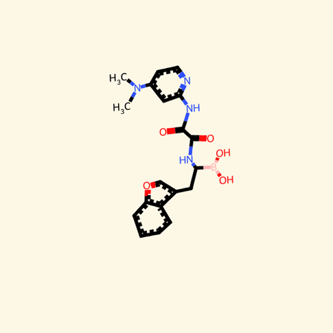 CN(C)c1ccnc(NC(=O)C(=O)NC(Cc2coc3ccccc23)B(O)O)c1